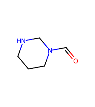 O=CN1CCCNC1